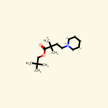 CC(C)(C)COC(=O)C(C)(C)CCN1CCCCC1